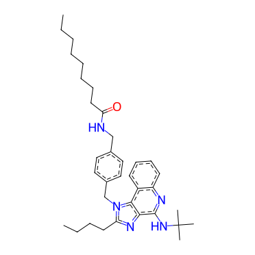 CCCCCCCCC(=O)NCc1ccc(Cn2c(CCCC)nc3c(NC(C)(C)C)nc4ccccc4c32)cc1